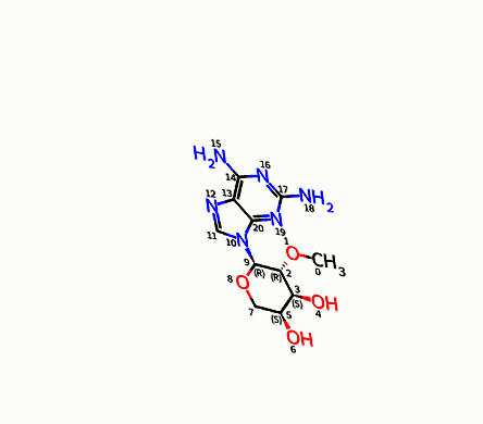 CO[C@@H]1[C@@H](O)[C@@H](O)CO[C@H]1n1cnc2c(N)nc(N)nc21